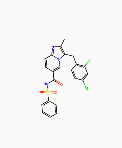 Cc1nc2ccc(C(=O)NS(=O)(=O)c3ccccc3)cn2c1Cc1ccc(Cl)cc1Cl